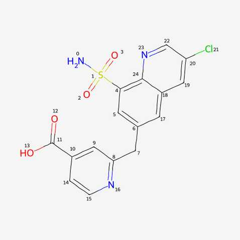 NS(=O)(=O)c1cc(Cc2cc(C(=O)O)ccn2)cc2cc(Cl)cnc12